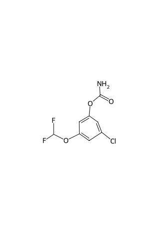 NC(=O)Oc1cc(Cl)cc(OC(F)F)c1